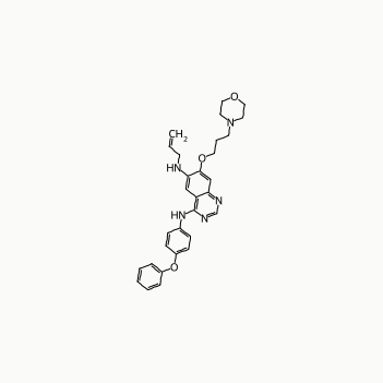 C=CCNc1cc2c(Nc3ccc(Oc4ccccc4)cc3)ncnc2cc1OCCCN1CCOCC1